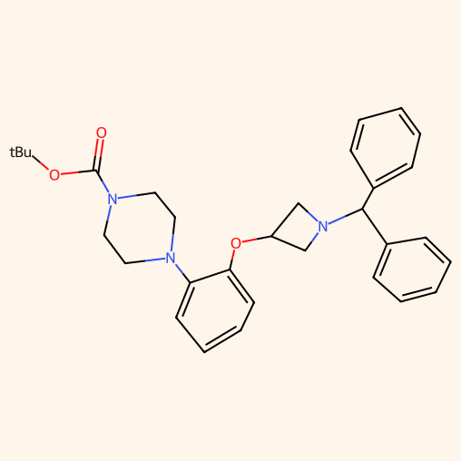 CC(C)(C)OC(=O)N1CCN(c2ccccc2OC2CN(C(c3ccccc3)c3ccccc3)C2)CC1